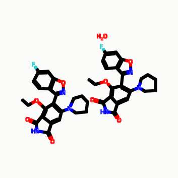 CCOc1c2c(cc(N3CCCCC3)c1-c1noc3cc(F)ccc13)C(=O)NC2=O.CCOc1c2c(cc(N3CCCCC3)c1-c1noc3cc(F)ccc13)C(=O)NC2=O.O